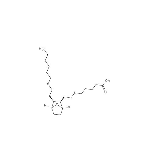 CCCCCCOCC[C@H]1[C@@H](CCSCCCCC(=O)O)[C@H]2CC[C@@H]1O2